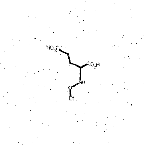 CCONC(CCC(=O)O)C(=O)O